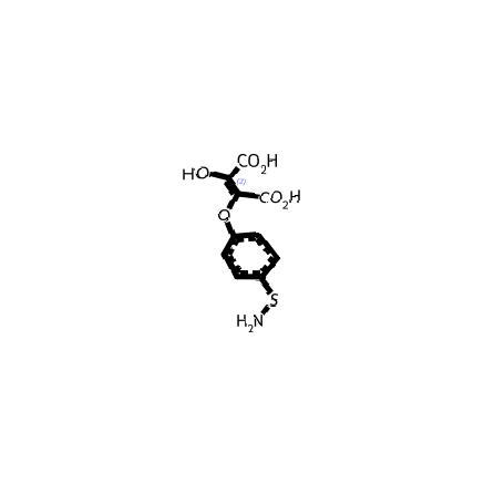 NSc1ccc(O/C(C(=O)O)=C(\O)C(=O)O)cc1